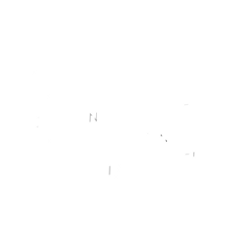 CCN(CC)C(C)CN1c2ccccc2SC2CCCCC21